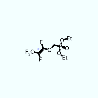 CCOP(=O)(CO/C(F)=C(\F)C(F)(F)F)OCC